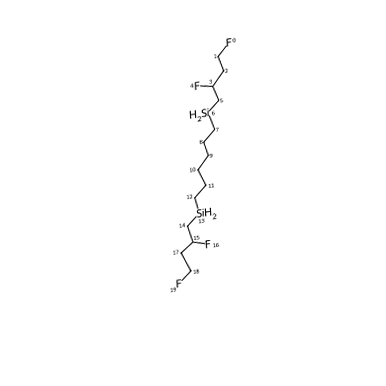 FCCC(F)C[SiH2]CCCCCC[SiH2]CC(F)CCF